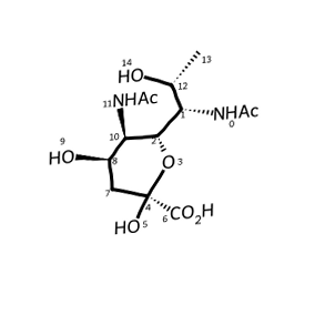 CC(=O)N[C@H]([C@@H]1O[C@](O)(C(=O)O)C[C@@H](O)[C@H]1NC(C)=O)[C@@H](C)O